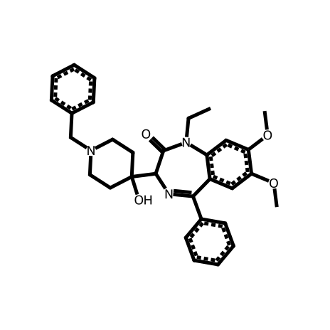 CCN1C(=O)C(C2(O)CCN(Cc3ccccc3)CC2)N=C(c2ccccc2)c2cc(OC)c(OC)cc21